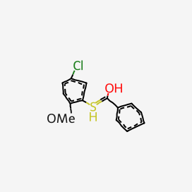 COc1ccc(Cl)cc1[SH]=C(O)c1ccccc1